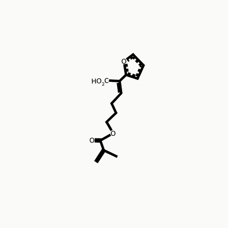 C=C(C)C(=O)OCCCC=C(C(=O)O)c1ccco1